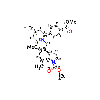 COC(=O)c1ccc([C@H]2C[C@@H](C)CCN2Cc2c(OC)cc(C)c3c2ccn3C(=O)OC(C)(C)C)cc1